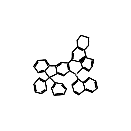 c1ccc(N(c2cc3c(cc2-c2ccc4c(c2)CCCC4)-c2ccccc2C3(c2ccccc2)c2ccccc2)c2cccc3ccccc23)cc1